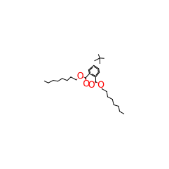 CC(C)(C)C.CCCCCCCCOC(=O)c1ccccc1C(=O)OCCCCCCCC